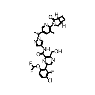 Cc1cc([C@H](C)n2cc(NC(=O)c3nc(-c4c(OC(F)F)ccc(Cl)c4F)cnc3CO)cn2)cnc1N1C[C@H]2CC[C@H]2C1=O